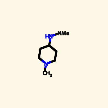 CNNC1CCN(C)CC1